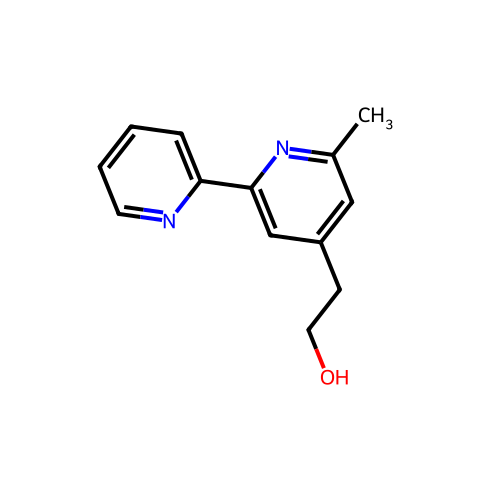 Cc1cc(CCO)cc(-c2ccccn2)n1